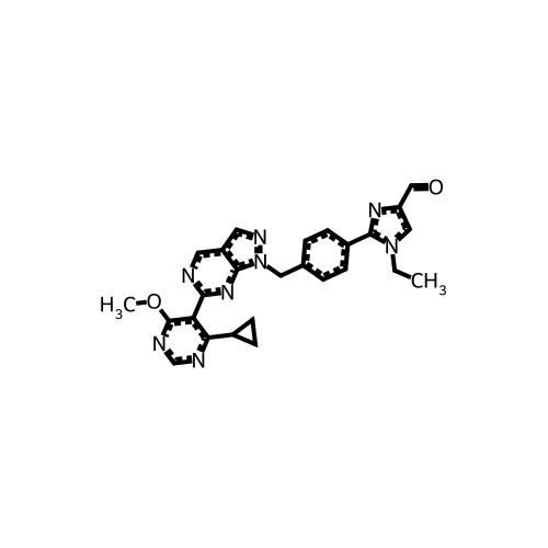 CCn1cc(C=O)nc1-c1ccc(Cn2ncc3cnc(-c4c(OC)ncnc4C4CC4)nc32)cc1